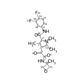 Cc1c(C(=O)C(=O)NC2(C)COC2)c(C)n(C)c1C(=O)Nc1ccc(F)c(F)c1